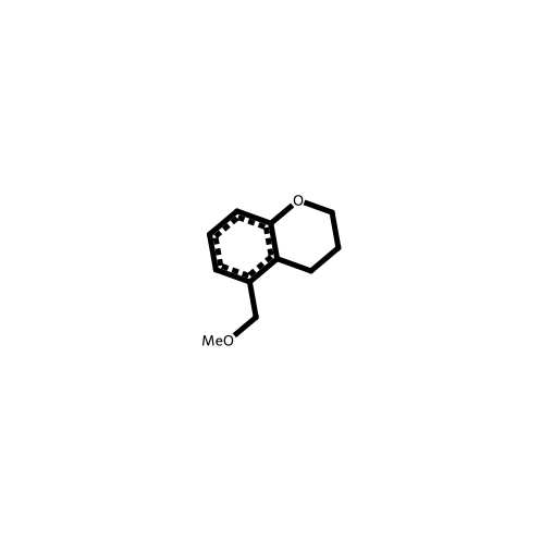 COCc1cccc2c1CCCO2